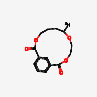 [2H]C1CCCOC(=O)c2cccc(c2)C(=O)OCCO1